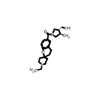 CCN1CCC2(CCc3cc(C(=O)N4C[C@H](CO)[C@@H](C)C4)ccc3O2)CC1